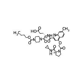 CCCCOC(=O)N1CCN(C(=O)[C@H](CCC(=O)O)NC(=O)c2cc(OCC(=O)N3CCC[C@H]3C(=O)NC3CC3)c3ccc(C)cc3n2)CC1